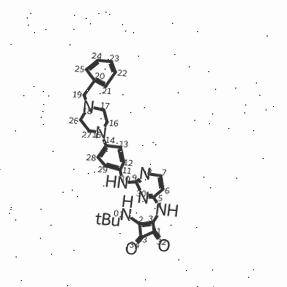 CC(C)(C)Nc1c(Nc2ccnc(Nc3ccc(N4CCN(Cc5ccccc5)CC4)cc3)n2)c(=O)c1=O